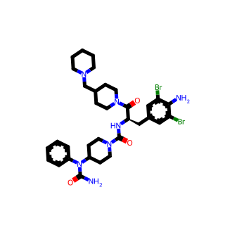 NC(=O)N(c1ccccc1)C1CCN(C(=O)N[C@H](Cc2cc(Br)c(N)c(Br)c2)C(=O)N2CCC(CN3CCCCC3)CC2)CC1